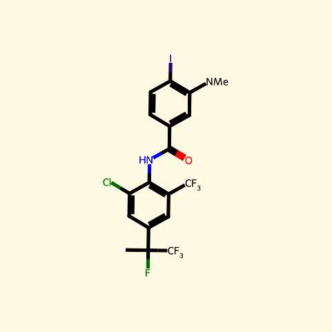 CNc1cc(C(=O)Nc2c(Cl)cc(C(C)(F)C(F)(F)F)cc2C(F)(F)F)ccc1I